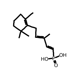 CC1=C(C/C=C(C)/C=C/P(=O)(O)O)C(C)(C)CCC1